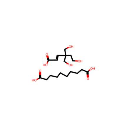 O=C(O)C=CC(CO)(CO)CCO.O=C(O)CCCCCCCCC(=O)O